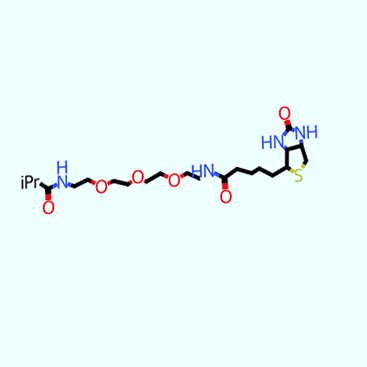 CC(C)C(=O)NCCOCCOCCOCCNC(=O)CCCCC1SCC2NC(=O)NC21